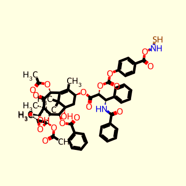 CC(=O)O[C@H]1C(=O)[C@](C)([C@H](C)O)[C@@H]([C@]2(OC(C)=O)O[C@@H]2C)[C@H](OC(=O)c2ccccc2)[C@]2(O)C[C@H](OC(=O)[C@H](OC(=O)Oc3ccc(C(=O)ONS)cc3)[C@@H](NC(=O)c3ccccc3)c3ccccc3)C(C)=C1C2(C)C